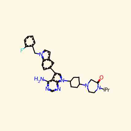 CC(C)N1CCN(C2CCC(n3cc(-c4ccc5c(ccn5Cc5ccccc5F)c4)c4c(N)ncnc43)CC2)CC1=O